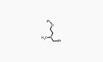 CC(C)CN(C)CCOC(C)C